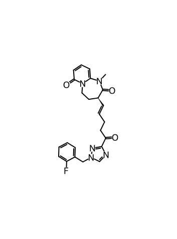 CN1C(=O)[C@@H](/C=C/CCC(=O)c2ncn(Cc3ccccc3F)n2)CCn2c1cccc2=O